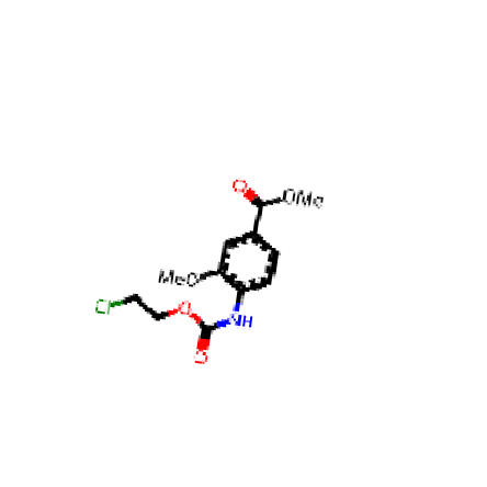 COC(=O)c1ccc(NC(=O)OCCCl)c(OC)c1